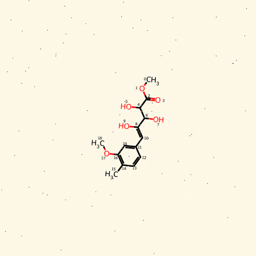 COC(=O)C(O)C(O)/C(O)=C/c1ccc(C)c(OC)c1